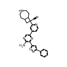 N#CC1(c2cc(-c3cnc(N)c(-c4cc(-c5ccccc5)no4)n3)ccn2)CC2CCNCCC21